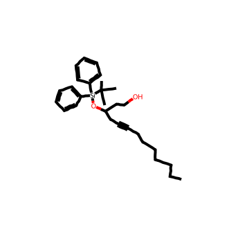 CCCCCCCC#CCC(CCO)O[Si](c1ccccc1)(c1ccccc1)C(C)(C)C